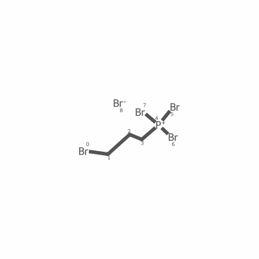 BrCCC[P+](Br)(Br)Br.[Br-]